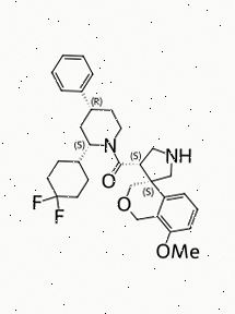 COc1cccc2c1COC[C@]21CNC[C@H]1C(=O)N1CC[C@@H](c2ccccc2)C[C@H]1C1CCC(F)(F)CC1